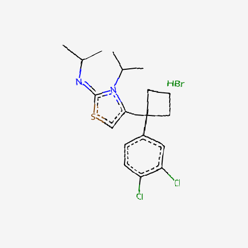 Br.CC(C)/N=c1/scc(C2(c3ccc(Cl)c(Cl)c3)CCC2)n1C(C)C